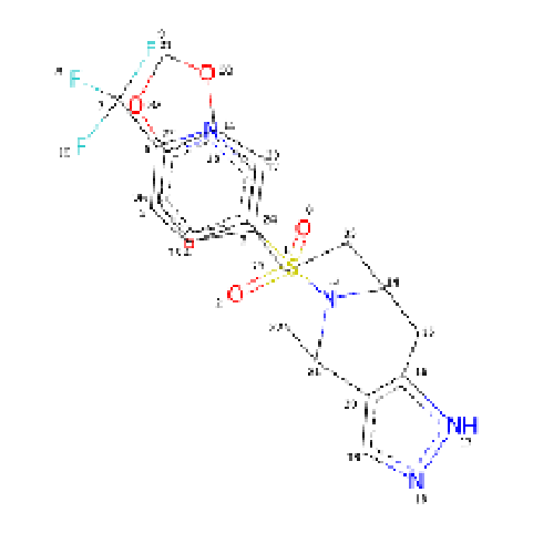 O=S(=O)(c1ccc(C(F)(F)F)nc1)N1C2Cc3[nH]ncc3C1CC(c1ccc3c(c1)OCO3)C2